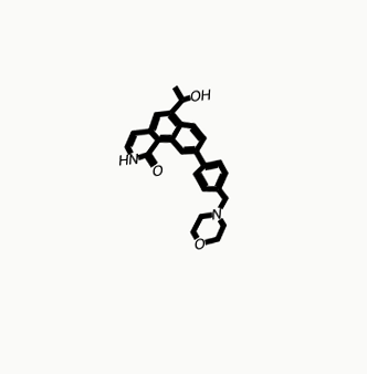 CC(O)c1cc2cc[nH]c(=O)c2c2cc(-c3ccc(CN4CCOCC4)cc3)ccc12